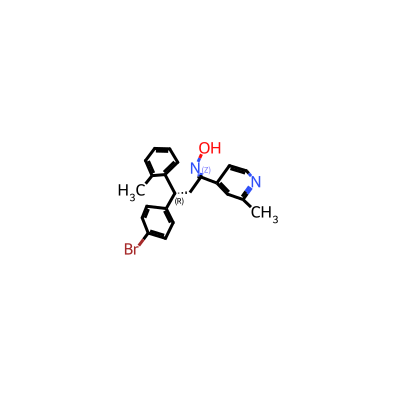 Cc1cc(/C(C[C@H](c2ccc(Br)cc2)c2ccccc2C)=N\O)ccn1